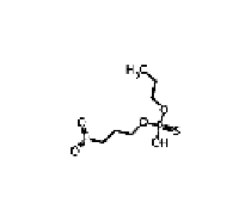 CCCOP(O)(=S)OCCCP(=O)=O